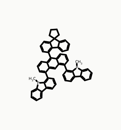 Cp1c2ccccc2c2cccc(-c3cccc4c(-c5cccc6c5-c5ccccc5C65CCCC5)c5cccc(-c6cccc7c8ccccc8p(C)c67)c5cc34)c21